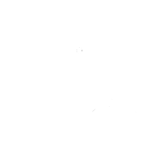 COc1ccc(C23CC4CC(CC(c5ccc(C)cc5)(C4)C2)C3)cc1